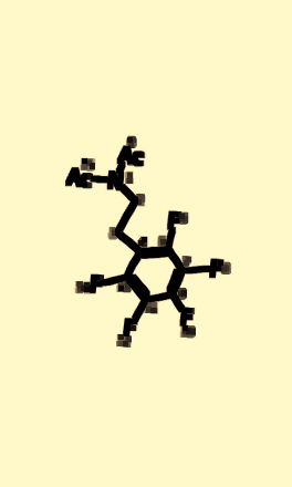 CC(=O)N(CCc1c(F)c(F)c(F)c(F)c1F)C(C)=O